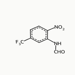 O=CNc1cc(C(F)(F)F)ccc1[N+](=O)[O-]